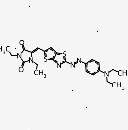 CCN1C(=O)/C(=C/c2cc3sc(/N=N/c4ccc(N(CC)CC)cc4)nc3s2)N(CC)C1=O